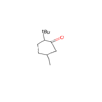 CC1CCC(C(C)(C)C)C(=O)C1